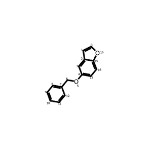 [c]1cc2cc(OCc3ccccc3)ccc2o1